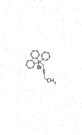 CCC#CCP(Br)(c1ccccc1)(c1ccccc1)c1ccccc1